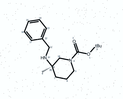 CC(C)(C)OC(=O)N1CCC[C@@](C)(NCc2ccccc2)C1